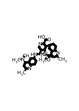 Cc1cc(N(C)C)c2cc(NCc3cnc(C(=O)O)c4c3NC(=O)c3c(C)nc5ccc-4cc5c3N(C)C)ccc2n1